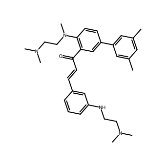 Cc1cc(C)cc(-c2ccc(N(C)CCN(C)C)c(C(=O)C=Cc3cccc(NCCN(C)C)c3)c2)c1